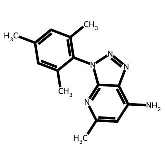 Cc1cc(C)c(-n2nnc3c(N)cc(C)nc32)c(C)c1